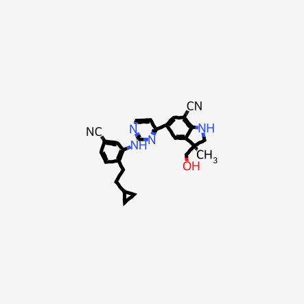 C[C@]1(CO)CNc2c(C#N)cc(-c3ccnc(Nc4cc(C#N)ccc4CCC4CC4)n3)cc21